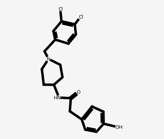 O=C(Cc1ccc(O)cc1)NC1CCN(Cc2ccc(Cl)c(Cl)c2)CC1